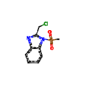 CS(=O)(=O)n1c(CCl)nc2ccccc21